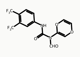 O=CN(C(=O)Nc1ccc(C(F)(F)F)c(C(F)(F)F)c1)C1=COC=CO1